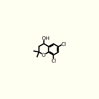 CC1(C)CC(O)c2cc(Cl)cc(Cl)c2O1